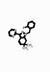 CC1(C)C=Cc2c(-c3ncccn3)nn(Cc3ccccc3F)c2C1